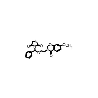 COc1ccc2c(c1)OCN(CCOC(c1ccccc1)N1C(=O)CSC1=O)C2=O